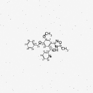 COc1cc(-c2noc(C)n2)c(C(O)c2ccccn2)cc1OCc1ccccc1